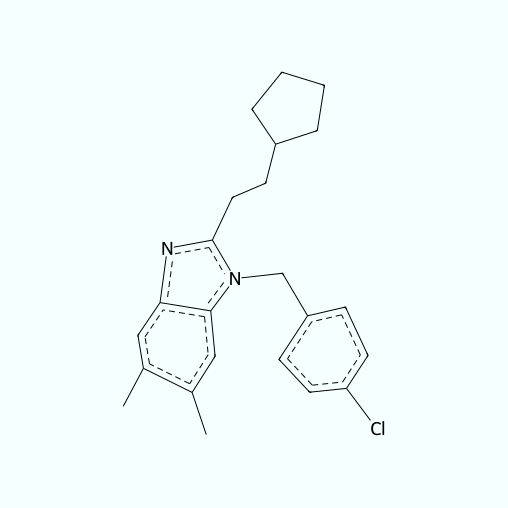 Cc1cc2nc(CCC3CCCC3)n(Cc3ccc(Cl)cc3)c2cc1C